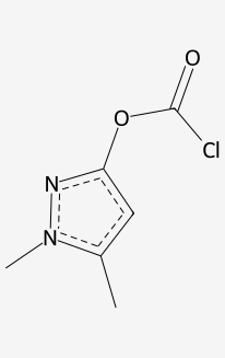 Cc1cc(OC(=O)Cl)nn1C